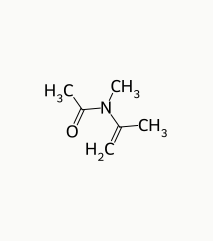 C=C(C)N(C)C(C)=O